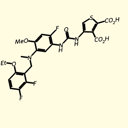 CCOc1ccc(F)c(F)c1CN(C)c1cc(NC(=O)Nc2csc(C(=O)O)c2C(=O)O)c(F)cc1OC